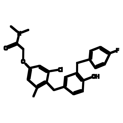 Cc1cc(OCC(=O)N(C)C)cc(Cl)c1Cc1ccc(O)c(Cc2ccc(F)cc2)c1